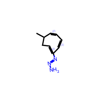 CC1\C=C/C=C\C(N=NN)=C\C1